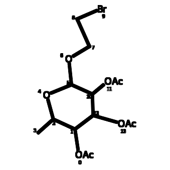 CC(=O)OC1C(C)OC(OCCBr)C(OC(C)=O)C1OC(C)=O